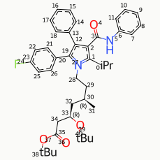 CC(C)c1c(C(=O)Nc2ccccc2)c(-c2ccccc2)c(-c2ccc(F)cc2)n1CC[C@@H](C)C[C@H](CC(=O)OC(C)(C)C)OC(C)(C)C